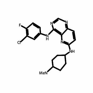 CNC1CCC(Nc2ccc3ncnc(Nc4ccc(F)c(Cl)c4)c3n2)CC1